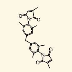 CC1=CC(=O)N(c2c(C)cc(Cc3cc(C)c(N4C(=O)C=C(C)C4=O)c(C)c3)cc2C)C1=O